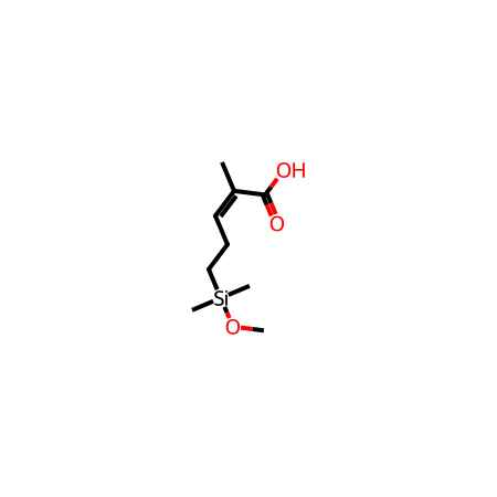 CO[Si](C)(C)CCC=C(C)C(=O)O